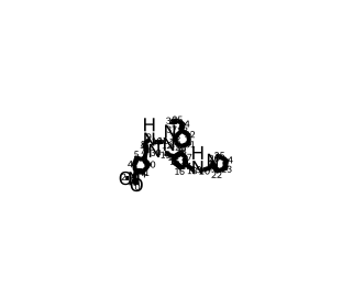 O=[N+]([O-])c1ccc(-c2c[nH]c(CN(Cc3ccc(CNCc4ccccn4)cc3)C3CCCc4cccnc43)n2)cc1